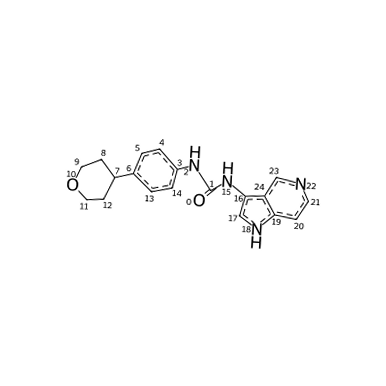 O=C(Nc1ccc(C2CCOCC2)cc1)Nc1c[nH]c2ccncc12